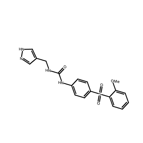 COc1ccccc1S(=O)(=O)c1ccc(NC(=O)NCc2cn[nH]c2)cc1